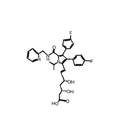 CC(C)n1c(C=C[C@@H](O)C[C@@H](O)CC(=O)O)c(-c2ccc(F)cc2)c(-c2ccc(F)cc2)c1C(=O)NCc1ccccn1